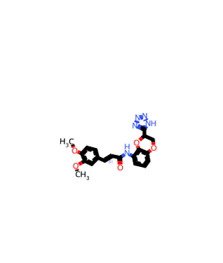 COc1ccc(/C=C/C(=O)Nc2cccc3c2OC(c2nnn[nH]2)CO3)cc1OC